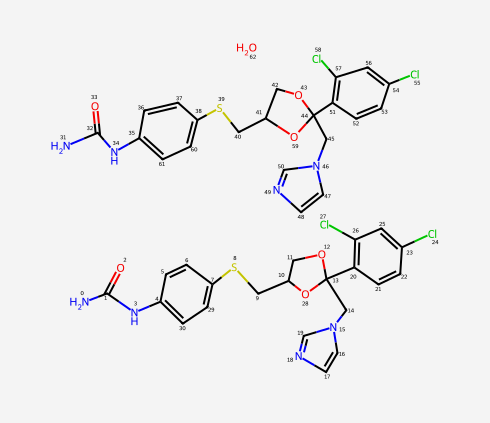 NC(=O)Nc1ccc(SCC2COC(Cn3ccnc3)(c3ccc(Cl)cc3Cl)O2)cc1.NC(=O)Nc1ccc(SCC2COC(Cn3ccnc3)(c3ccc(Cl)cc3Cl)O2)cc1.O